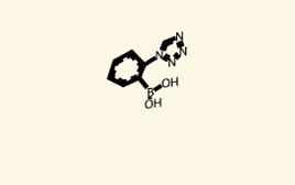 OB(O)c1ccccc1-n1cnnn1